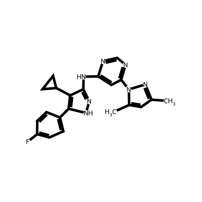 Cc1cc(C)n(-c2cc(Nc3n[nH]c(-c4ccc(F)cc4)c3C3CC3)ncn2)n1